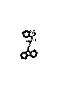 O=C(O)C[C@@H](NC(=O)OCC1c2ccccc2-c2ccccc21)c1ccccc1